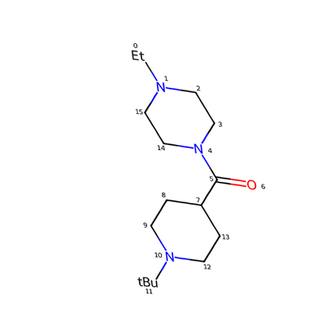 CCN1CCN(C(=O)C2CCN(C(C)(C)C)CC2)CC1